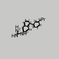 CC(C)c1[c]ccc(-c2cccc3cc(NC(=N)N)ccc23)c1